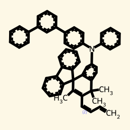 C=C/C=C\C1=C(C)C2(c3ccccc3-c3ccccc32)c2cc(N(c3ccccc3)c3ccc(-c4cccc(-c5ccccc5)c4)cc3)ccc2C1(C)C